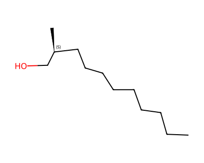 CCCCCCCCC[C@H](C)CO